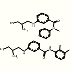 CN(C(=O)c1cccc(NCC(N)CS)c1)c1ccccc1.Cc1cccc(NC(=O)c2cccc(NCC(N)CS)c2)c1C